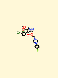 COC(=O)C1=C(C)NC(C)=C(C(=O)OCCN2CCN(c3ccc(F)cc3)CC2)C1c1cccc(Cl)c1Cl